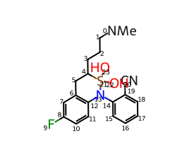 CNCCCC1Cc2cc(F)ccc2N(c2ccccc2C#N)S1(O)O